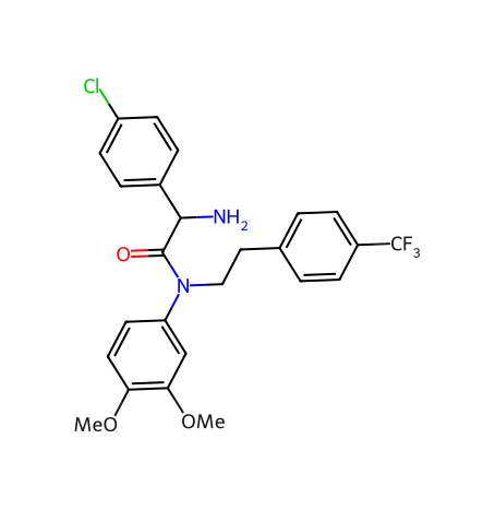 COc1ccc(N(CCc2ccc(C(F)(F)F)cc2)C(=O)C(N)c2ccc(Cl)cc2)cc1OC